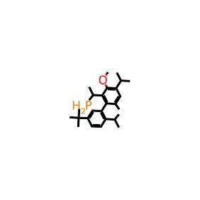 COc1c(C(C)C)cc(C)c(-c2c(C(C)C)ccc(C(C)(C)C)c2P)c1C(C)C